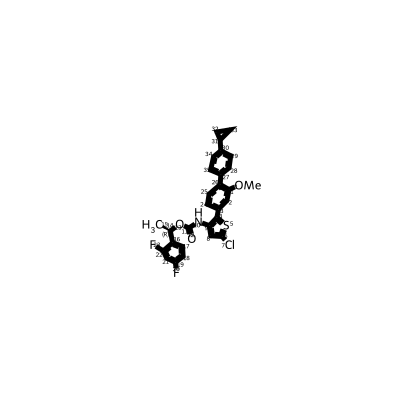 COc1cc(-c2sc(Cl)cc2NC(=O)O[C@H](C)c2ccc(F)cc2F)ccc1-c1ccc(C2CC2)cc1